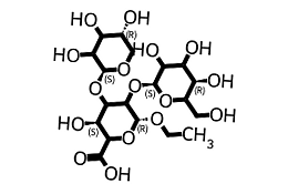 CCO[C@@H]1OC(C(=O)O)[C@@H](O)C(O[C@@H]2OC[C@@H](O)C(O)C2O)C1O[C@@H]1OC(CO)[C@H](O)C(O)C1O